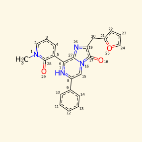 Cn1cccc(-c2[nH]c(-c3ccccc3)cn3c(=O)c(Cc4ccco4)nc2-3)c1=O